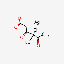 CC(=O)C(C)(C)C(=O)CC(=O)[O-].[Ag+]